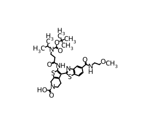 COCCNC(=O)c1ccc2sc(-c3c(NC(=O)CCN(C(=O)OC(C)(C)C)C(C)C)sc4c3CCN(C(=O)O)C4)nc2c1